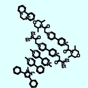 CC1COCC(C)N1C(=O)C[n+]1ccc(-c2cc[n+](CC(=O)N3C(C)COCC3C)cc2)cc1.CCN(CC)C(=O)C[n+]1ccc(-c2cc[n+](CC(=O)N(CC)CC)cc2)cc1.C[n+]1ccc(-c2cc[n+](C)cc2)cc1.C[n+]1ccc(-c2ccccc2)cc1.Cn1c(-c2ccccc2)cc(-c2ccccc2)[n+]1C.c1cc[n+]2c(c1)-c1cccc[n+]1CC2